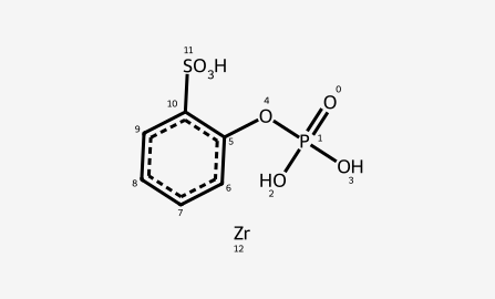 O=P(O)(O)Oc1ccccc1S(=O)(=O)O.[Zr]